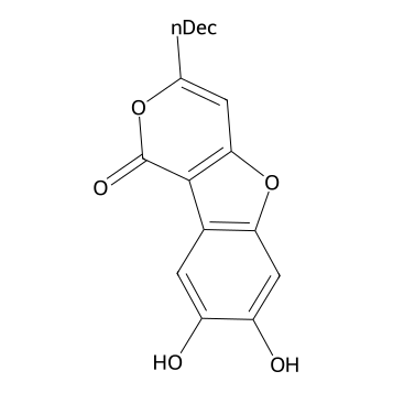 CCCCCCCCCCc1cc2oc3cc(O)c(O)cc3c2c(=O)o1